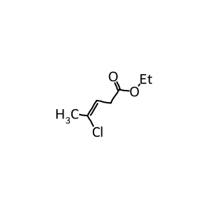 CCOC(=O)CC=C(C)Cl